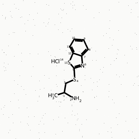 CC(N)CSc1nc2ccccc2s1.Cl